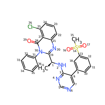 C[C@H](Nc1ncncc1-c1cccc(S(C)(=O)=O)c1)c1nc2cccc(Cl)c2c(=O)n1-c1ccccc1